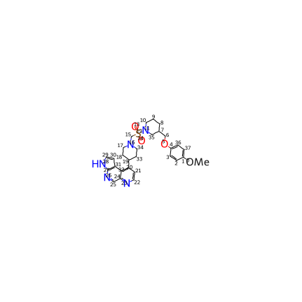 COc1ccc(OCC2CCCN(S(=O)(=O)CN3CCC(c4ccnc5cnc6[nH]ccc6c45)CC3)C2)cc1